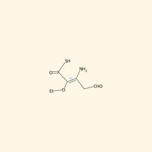 CCO/C(C(=O)S)=C(/N)CC=O